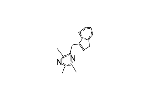 Cc1nc(C)c(CC2=CCc3ccccc32)nc1C